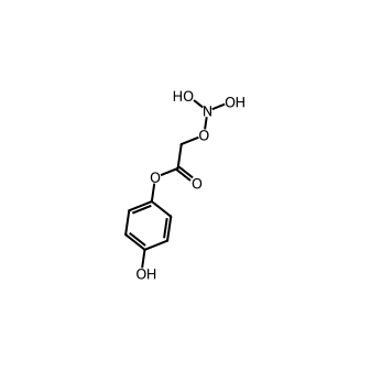 O=C(CON(O)O)Oc1ccc(O)cc1